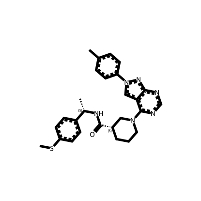 CSc1ccc([C@H](C)NC(=O)[C@H]2CCCN(c3ncnc4nn(-c5ccc(C)cc5)cc34)C2)cc1